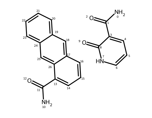 NC(=O)c1ccc[nH]c1=O.NC(=O)c1cccc2cc3ccccc3cc12